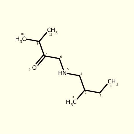 CCC(C)CNCC(=O)C(C)C